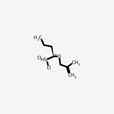 C=C(C)CO[C@H](CCC)[SiH](Cl)Cl